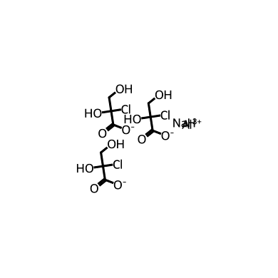 O=C([O-])C(O)(Cl)CO.O=C([O-])C(O)(Cl)CO.O=C([O-])C(O)(Cl)CO.[Al+3].[NaH]